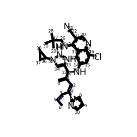 C=C(/C=C(\C=C/C)n1cccn1)[C@H](Nc1cc(Cl)c2ncc(C#N)c(NCC(C)(C)C)c2c1)C1=CN(C2CC2)NN1